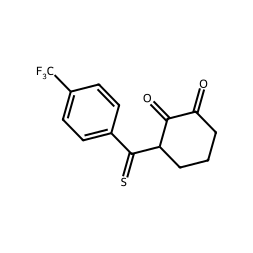 O=C1CCCC(C(=S)c2ccc(C(F)(F)F)cc2)C1=O